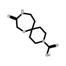 O=C1COC2(CCN1)CCN(C(=O)O)CC2